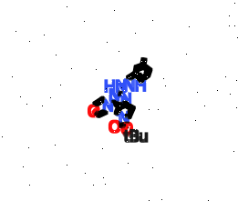 Cc1cccc(CNNc2nc3c(c(N4CCOCC4)n2)CN(C(=O)OC(C)(C)C)CC3)c1